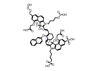 CC1(C)C(/C=C/C2=C(Oc3ccc4ccccc4c3)C(=C/C=C3/N(CCCCS(=O)(=O)O)c4ccc5cc(S(=O)(=O)O)cc(OCC(=O)O)c5c4C3(C)C)/CCC2)=[N+](CCCCOS(=O)O)c2ccc3cc(SOOO)cc(OCC(=O)O)c3c21